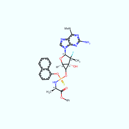 CNc1nc(N)nc2c1ncn2[C@@H]1O[C@@H]2C(OP(=S)(N[C@H](C)C(=O)OC(C)C)Oc3cccc4ccccc34)[C@]2(O)[C@@]1(C)F